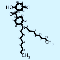 CCCCCCCCN(CCCCCCCC)c1ccc(C(=O)c2cc(Cl)ccc2O)cc1